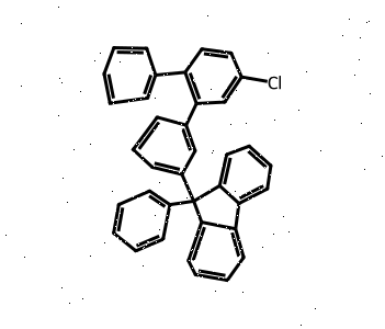 Clc1ccc(-c2ccccc2)c(-c2cccc(C3(c4ccccc4)c4ccccc4-c4ccccc43)c2)c1